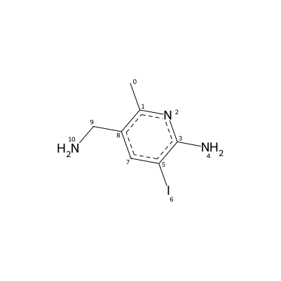 Cc1nc(N)c(I)cc1CN